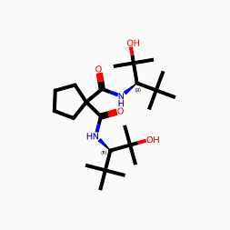 CC(C)(C)[C@@H](NC(=O)C1(C(=O)N[C@H](C(C)(C)C)C(C)(C)O)CCCC1)C(C)(C)O